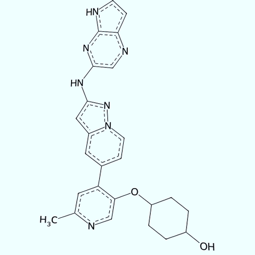 Cc1cc(-c2ccn3nc(Nc4cnc5cc[nH]c5n4)cc3c2)c(OC2CCC(O)CC2)cn1